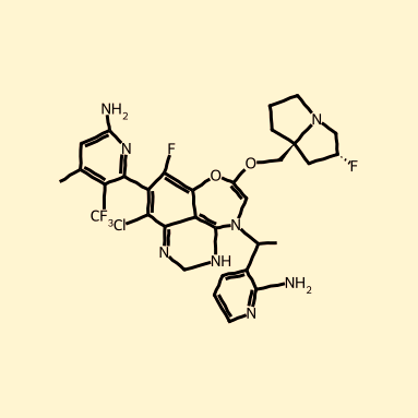 Cc1cc(N)nc(-c2c(F)c3c4c(c2Cl)=NCNC=4N(C(C)c2cccnc2N)C=C(OC[C@@]24CCCN2C[C@H](F)C4)O3)c1C(F)(F)F